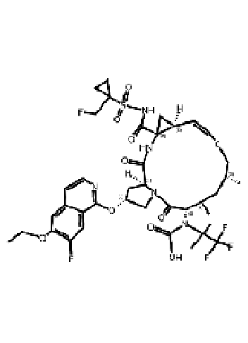 CCOc1cc2ccnc(O[C@@H]3C[C@H]4C(=O)N[C@]5(C(=O)NS(=O)(=O)C6(CF)CC6)C[C@H]5C=CCC[C@H](C)C[C@@H](C)[C@H](N(C(=O)O)C(C)(C)C(F)(F)F)C(=O)N4C3)c2cc1F